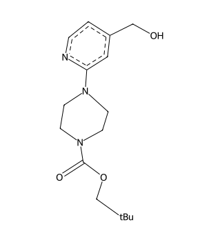 CC(C)(C)COC(=O)N1CCN(c2cc(CO)ccn2)CC1